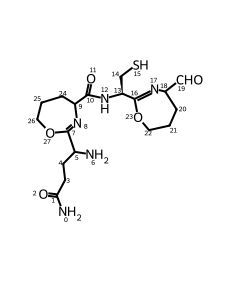 NC(=O)CCC(N)C1=NC(C(=O)N[C@@H](CS)C2=NC(C=O)CCCO2)CCCO1